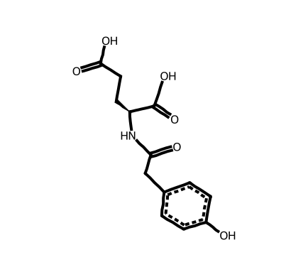 O=C(O)CC[C@H](NC(=O)Cc1ccc(O)cc1)C(=O)O